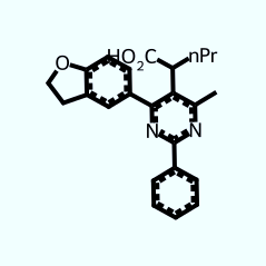 CCCC(C(=O)O)c1c(C)nc(-c2ccccc2)nc1-c1ccc2c(c1)CCO2